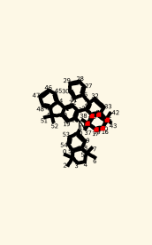 CC1(C)CCC(C)(C)c2cc(N(c3ccccc3)c3cc4c(cc3-c3c(-c5ccccc5)ccc5c3C(C)(C)CCC5(C)C)-c3ccccc3C4(C)C)ccc21